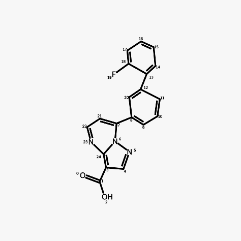 O=C(O)c1cnn2c(-c3cccc(-c4ccccc4F)c3)ccnc12